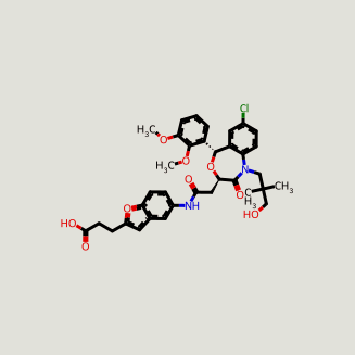 COc1cccc([C@H]2O[C@H](CC(=O)Nc3ccc4oc(CCC(=O)O)cc4c3)C(=O)N(CC(C)(C)CO)c3ccc(Cl)cc32)c1OC